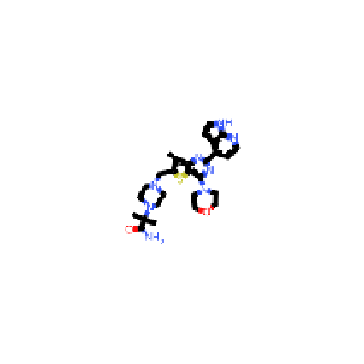 Cc1c(CN2CCN(C(C)(C)C(N)=O)CC2)sc2c(N3CCOCC3)nc(-c3ccnc4[nH]ccc34)nc12